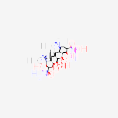 CN(C)c1cc(C(=O)NO)c(O)c2c1C[C@H]1C[C@H]3[C@H](N(C)C)C(O)=C(C(N)=O)C(=O)[C@@]3(O)C(O)=C1C2=O